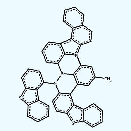 Cc1cc2c3c(c1)-n1c4ccc5ccccc5c4c4cccc(c41)B3N(c1cccc3sc4ccccc4c13)c1ccc3sc4ccccc4c3c1-2